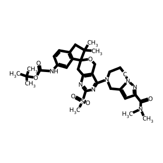 CN(C)C(=O)c1cc2n(n1)CCCN(c1nc(S(C)(=O)=O)nc3c1COC1(C3)c3cc(NC(=O)OC(C)(C)C)ccc3CC1(C)C)C2